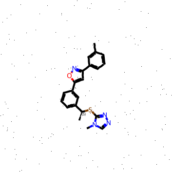 Cc1cccc(-c2cc(-c3cccc([C@H](C)Sc4nncn4C)c3)on2)c1